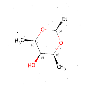 CC[C@H]1O[C@@H](C)[C@@H](O)[C@@H](C)O1